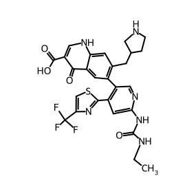 CCNC(=O)Nc1cc(-c2nc(C(F)(F)F)cs2)c(-c2cc3c(=O)c(C(=O)O)c[nH]c3cc2CC2CCNC2)cn1